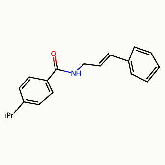 CC(C)c1ccc(C(=O)NC/C=C/c2ccccc2)cc1